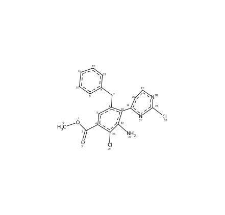 COC(=O)c1cc(Cc2ccccc2)c(-c2ccnc(Cl)n2)c(N)c1Cl